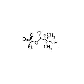 CCS(=O)(=O)OC(C)[Si](C)(C)C